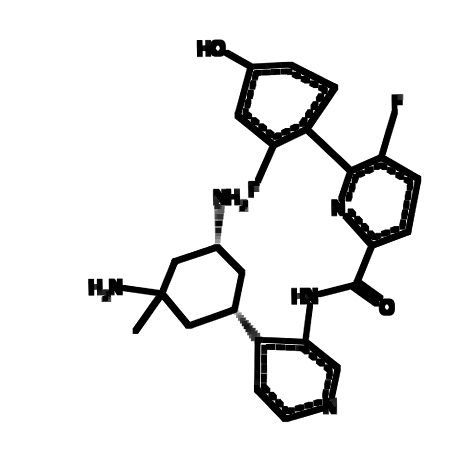 CC1(N)C[C@H](N)C[C@H](c2ccncc2NC(=O)c2ccc(F)c(-c3ccc(O)cc3F)n2)C1